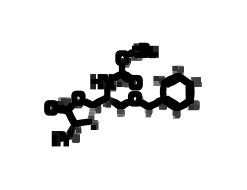 CC(C)[C@@H]1C[C@@H]([C@H](COCc2ccccc2)NC(=O)OC(C)(C)C)OC1=O